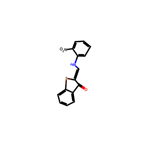 O=C1/C(=C/Nc2ccccc2[N+](=O)[O-])Sc2ccccc21